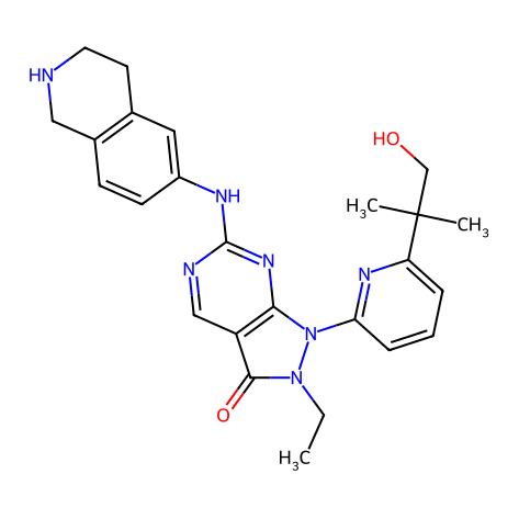 CCn1c(=O)c2cnc(Nc3ccc4c(c3)CCNC4)nc2n1-c1cccc(C(C)(C)CO)n1